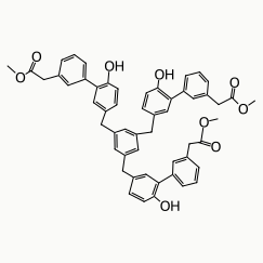 COC(=O)Cc1cccc(-c2cc(Cc3cc(Cc4ccc(O)c(-c5cccc(CC(=O)OC)c5)c4)cc(Cc4ccc(O)c(-c5cccc(CC(=O)OC)c5)c4)c3)ccc2O)c1